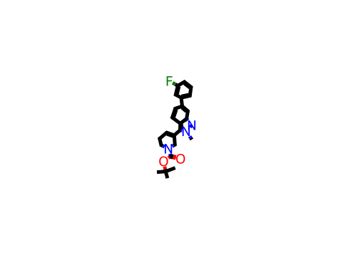 Cn1nc2cc(-c3cccc(F)c3)ccc2c1C1=CCCN(C(=O)OC(C)(C)C)C1